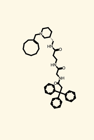 O=C(CCNC(=O)CNC(=O)CC(c1ccccc1)(c1ccccc1)c1ccccc1)NC[C@H]1CCCN(CC2=CCCCCCCC2)C1